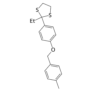 CCC1(c2ccc(OCc3ccc(C)cc3)cc2)SCCS1